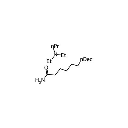 CCCCCCCCCCCCCCCC(N)=O.CCCN(CC)CC